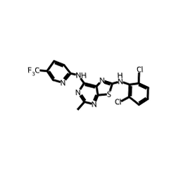 Cc1nc(Nc2ccc(C(F)(F)F)cn2)c2nc(Nc3c(Cl)cccc3Cl)sc2n1